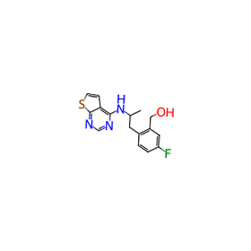 CC(Cc1ccc(F)cc1CO)Nc1ncnc2sccc12